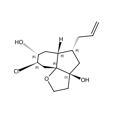 C=CC[C@@H]1C[C@]2(O)CCO[C@@]23C[C@@H](Cl)[C@H](O)C[C@H]13